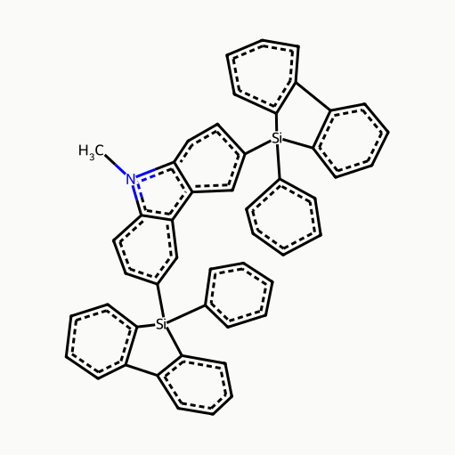 Cn1c2ccc([Si]3(c4ccccc4)c4ccccc4-c4ccccc43)cc2c2cc([Si]3(c4ccccc4)c4ccccc4-c4ccccc43)ccc21